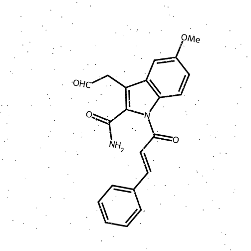 COc1ccc2c(c1)c(C[C]=O)c(C(N)=O)n2C(=O)/C=C/c1ccccc1